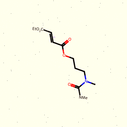 CCOC(=O)/C=C/C(=O)OCCCN(C)C(=O)NC